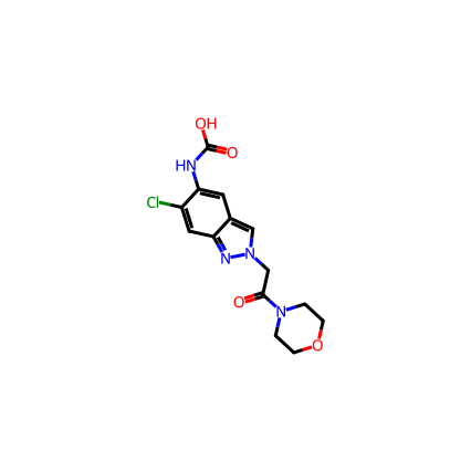 O=C(O)Nc1cc2cn(CC(=O)N3CCOCC3)nc2cc1Cl